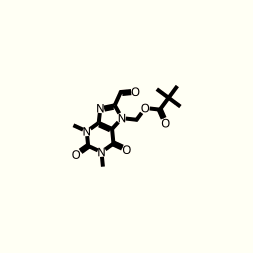 Cn1c(=O)c2c(nc(C=O)n2COC(=O)C(C)(C)C)n(C)c1=O